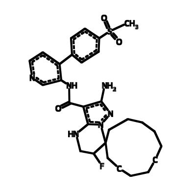 CS(=O)(=O)c1ccc(-c2ccncc2NC(=O)c2c(N)nn3c2NCC(F)C32CCCCCCCCCC2)cc1